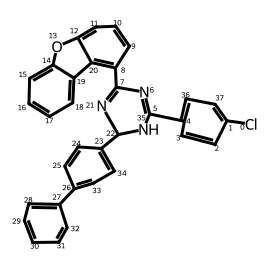 Clc1ccc(C2=NC(c3cccc4oc5ccccc5c34)=NC(c3ccc(-c4ccccc4)cc3)N2)cc1